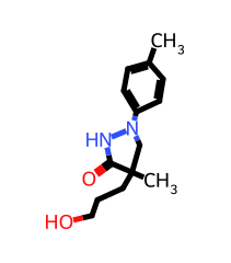 Cc1ccc(N2CC(C)(CCCO)C(=O)N2)cc1